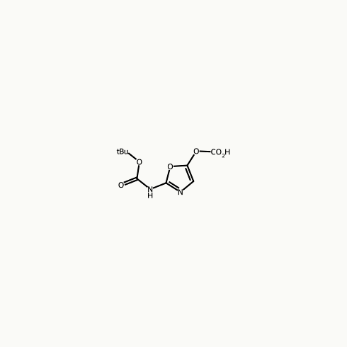 CC(C)(C)OC(=O)Nc1ncc(OC(=O)O)o1